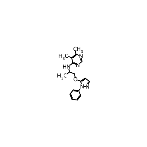 Cc1ncnc(NC(C)COc2ccnn2-c2ccccc2)c1C